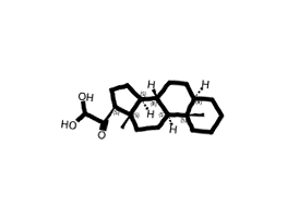 C[C@]12CCCC[C@@H]1CC[C@@H]1[C@@H]2CC[C@]2(C)[C@@H](C(=O)C(O)O)CC[C@@H]12